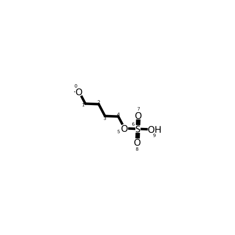 [O]CCCCOS(=O)(=O)O